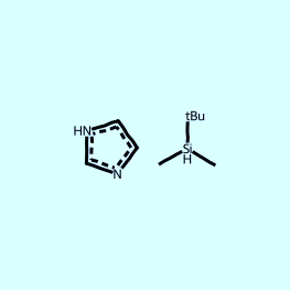 C[SiH](C)C(C)(C)C.c1c[nH]cn1